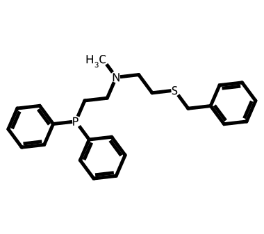 CN(CCSCc1ccccc1)CCP(c1ccccc1)c1ccccc1